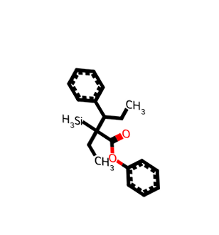 CCC(c1ccccc1)C([SiH3])(CC)C(=O)Oc1ccccc1